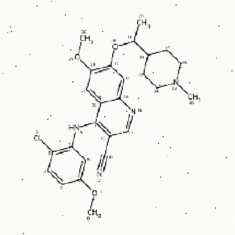 COc1ccc(Cl)c(Nc2c(C#N)cnc3cc(OC(C)C4CCN(C)CC4)c(OC)cc23)c1